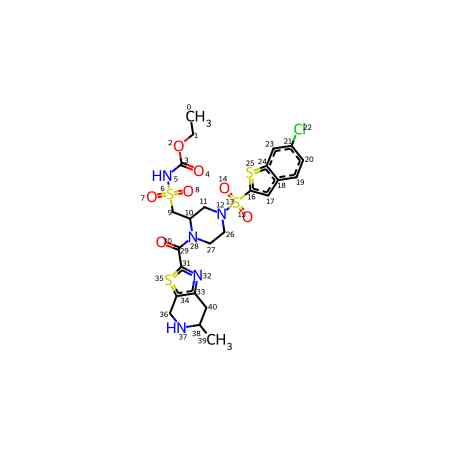 CCOC(=O)NS(=O)(=O)CC1CN(S(=O)(=O)c2cc3ccc(Cl)cc3s2)CCN1C(=O)c1nc2c(s1)CNC(C)C2